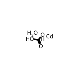 O.O=C(O)O.[Cd]